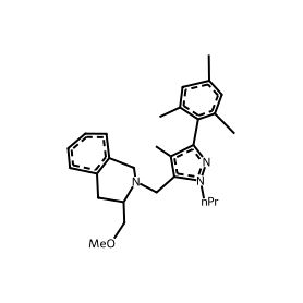 CCCn1nc(-c2c(C)cc(C)cc2C)c(C)c1CN1Cc2ccccc2CC1COC